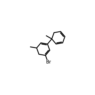 CC1C=C(C2(C)C=CC=CC2)C=C(Br)C1